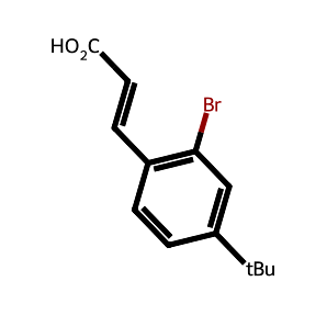 CC(C)(C)c1ccc(C=CC(=O)O)c(Br)c1